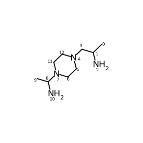 CC(N)CN1CCN(C(C)N)CC1